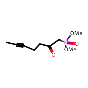 CC#CCCC(=O)CP(=O)(OC)OC